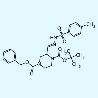 Cc1ccc(S(=O)(=O)NN=CC2CN(C(=O)OCc3ccccc3)CCN2C(=O)OC(C)(C)C)cc1